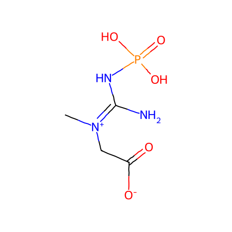 C[N+](CC(=O)[O-])=C(N)NP(=O)(O)O